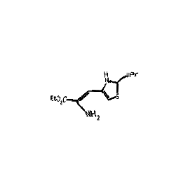 CCOC(=O)/C(N)=C/C1=CSC(C(C)C)N1